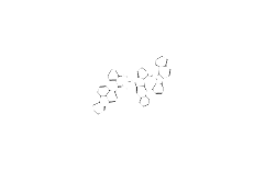 c1ccc2c(c1)-c1cccc3c(-c4nc(-n5c6cc7ccccc7cc6c6c(-n7c8ccccc8c8ccc9ccccc9c87)cccc65)nc5ccccc45)ccc-2c13